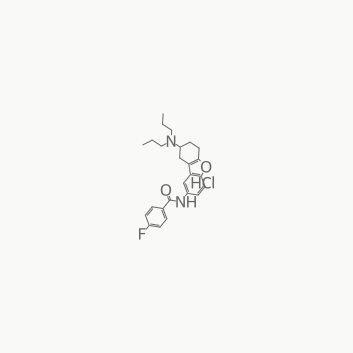 CCCN(CCC)C1CCc2oc3ccc(NC(=O)c4ccc(F)cc4)cc3c2C1.Cl